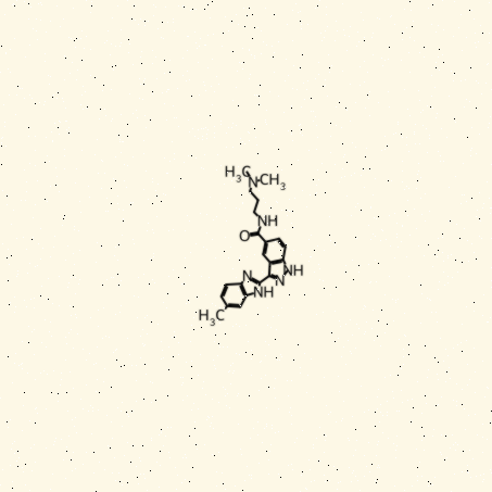 Cc1ccc2nc(-c3n[nH]c4ccc(C(=O)NCCCN(C)C)cc34)[nH]c2c1